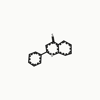 S=c1cc(-c2ccccc2)sc2ccccc12